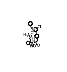 COCCC1(C(=O)NC(Cc2ccc(-c3cc(Cl)cn(Cc4ccccc4)c3=O)cc2)C(=O)O)CCCC1